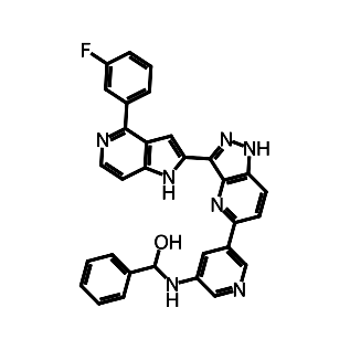 OC(Nc1cncc(-c2ccc3[nH]nc(-c4cc5c(-c6cccc(F)c6)nccc5[nH]4)c3n2)c1)c1ccccc1